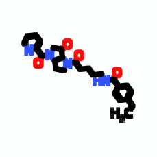 C=Cc1ccc(C(=O)NCCCCC(=O)N2CCC3C2C(=O)CN3C(=O)c2ccccn2)cc1